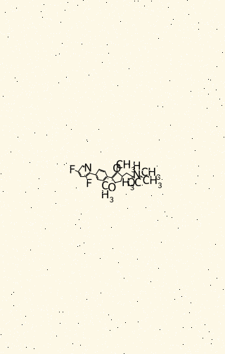 COC1=C(c2ccc(-c3ncc(F)cc3F)cc2C)C(=O)CC1CC(=O)NC(C)(C)C